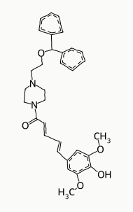 COc1cc(C=CC=CC(=O)N2CCN(CCOC(c3ccccc3)c3ccccc3)CC2)cc(OC)c1O